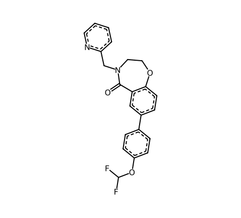 O=C1c2cc(-c3ccc(OC(F)F)cc3)ccc2OCCN1Cc1ccccn1